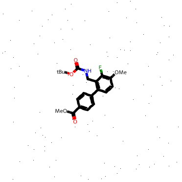 COC(=O)c1ccc(-c2ccc(OC)c(F)c2CNC(=O)OC(C)(C)C)cc1